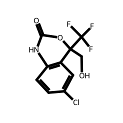 O=C1Nc2ccc(Cl)cc2C(CO)(C(F)(F)F)O1